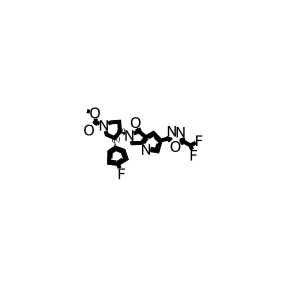 COC(=O)N1CC[C@@H](N2Cc3ncc(-c4nnc(C(F)F)o4)cc3C2=O)[C@H](c2ccc(F)cc2)C1